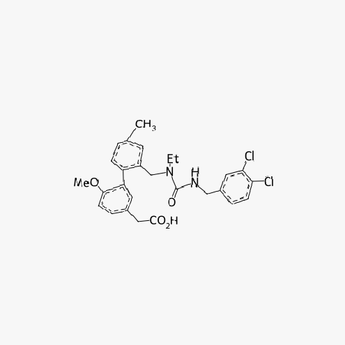 CCN(Cc1cc(C)ccc1-c1cc(CC(=O)O)ccc1OC)C(=O)NCc1ccc(Cl)c(Cl)c1